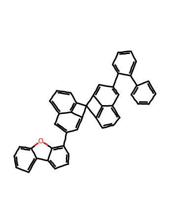 c1ccc(-c2ccccc2-c2cc3c4c(cccc4c2)C32c3cccc4cc(-c5cccc6c5oc5ccccc56)cc2c34)cc1